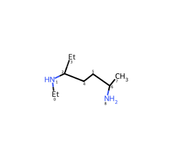 CCNC(CC)CCC(C)N